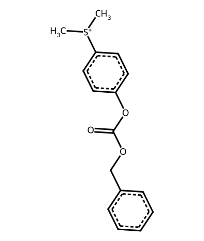 C[S+](C)c1ccc(OC(=O)OCc2ccccc2)cc1